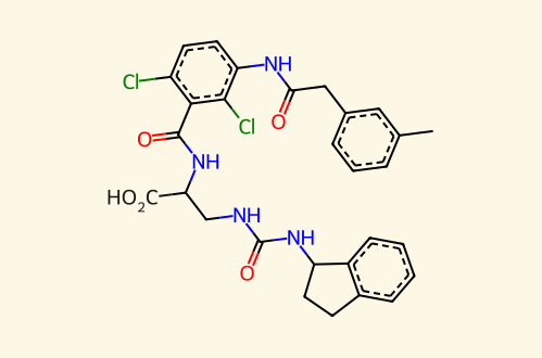 Cc1cccc(CC(=O)Nc2ccc(Cl)c(C(=O)NC(CNC(=O)NC3CCc4ccccc43)C(=O)O)c2Cl)c1